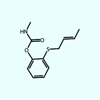 C/C=C/CSc1ccccc1OC(=O)NC